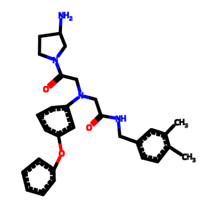 Cc1ccc(CNC(=O)CN(CC(=O)N2CCC(N)C2)c2cccc(Oc3ccccc3)c2)cc1C